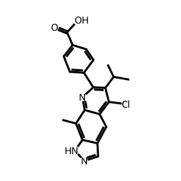 Cc1c2nc(-c3ccc(C(=O)O)cc3)c(C(C)C)c(Cl)c2cc2cn[nH]c12